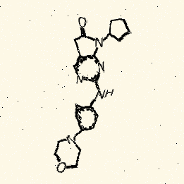 O=C1Cc2cnc(Nc3ccc(N4CCOCC4)cc3)nc2N1C1CCCC1